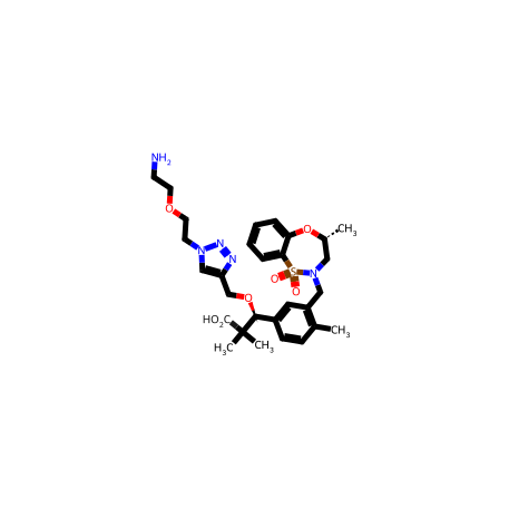 Cc1ccc([C@H](OCc2cn(CCOCCN)nn2)C(C)(C)C(=O)O)cc1CN1C[C@@H](C)Oc2ccccc2S1(=O)=O